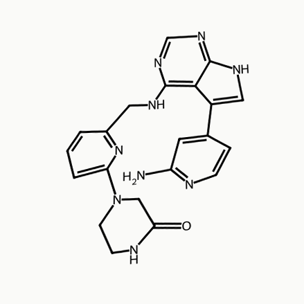 Nc1cc(-c2c[nH]c3ncnc(NCc4cccc(N5CCNC(=O)C5)n4)c23)ccn1